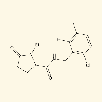 CCN1C(=O)CCC1C(=O)NCc1c(Cl)ccc(C)c1F